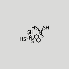 S=C(c1ccc(C(=S)N(CCS)CCS)c2ccccc12)N(CCS)CCS